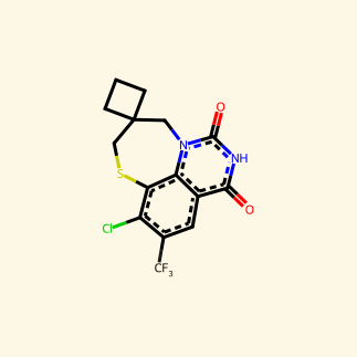 O=c1[nH]c(=O)n2c3c(c(Cl)c(C(F)(F)F)cc13)SCC1(CCC1)C2